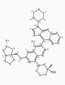 C[C@@]1(O)CCCN(c2nc(OC[C@@]34CCCN3C[C@H](F)C4)nc3c(F)c(-c4c5ccccc5cc5c4cnn5C4CCCCO4)ncc23)C1